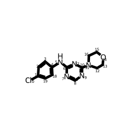 Clc1ccc(Nc2n[c]nc(N3CCOCC3)n2)cc1